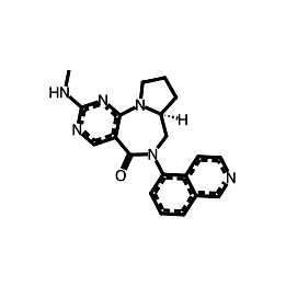 CNc1ncc2c(n1)N1CCC[C@H]1CN(c1cccc3cnccc13)C2=O